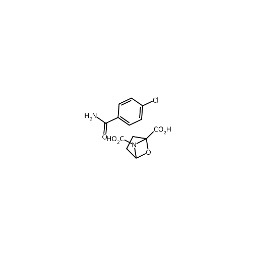 NC(=O)c1ccc(Cl)cc1.O=C(O)N1C2CCC1(C(=O)O)O2